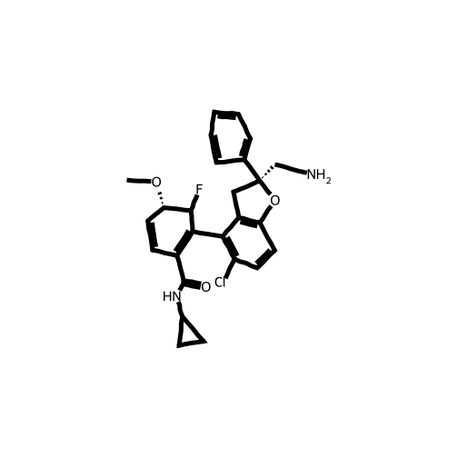 CO[C@H]1C=CC(C(=O)NC2CC2)=C(c2c(Cl)ccc3c2C[C@@](CN)(c2ccccc2)O3)C1F